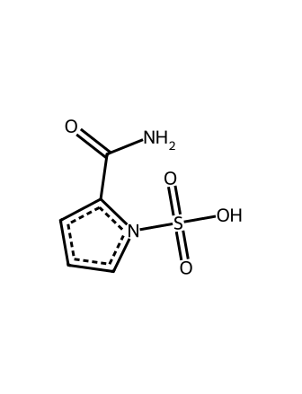 NC(=O)c1cccn1S(=O)(=O)O